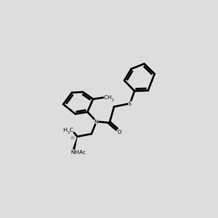 CC(=O)N[C@@H](C)CN(C(=O)CSc1ccccc1)c1ccccc1C